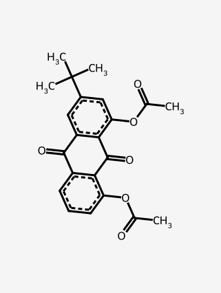 CC(=O)Oc1cccc2c1C(=O)c1c(OC(C)=O)cc(C(C)(C)C)cc1C2=O